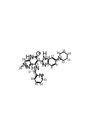 C[C@H](Nc1c(-c2nc3ccc(N4CCCCC4)cc3[nH]2)c(=O)[nH]c2cn(C)nc12)c1ccccn1